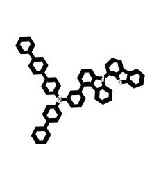 c1ccc(-c2ccc(-c3ccc(N(c4ccc(-c5ccccc5)cc4)c4cccc(-c5cccc6c5c5ccccc5n6-c5cccc6c5sc5ccccc56)c4)cc3)cc2)cc1